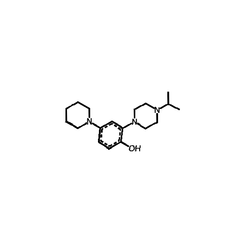 CC(C)N1CCN(c2cc(N3CCCCC3)ccc2O)CC1